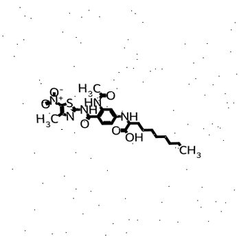 CCCCCCCCC(Nc1ccc(C(=O)Nc2nc(C)c([N+](=O)[O-])s2)c(NC(C)=O)c1)C(=O)O